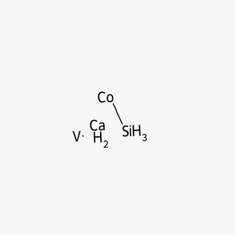 [CaH2].[SiH3][Co].[V]